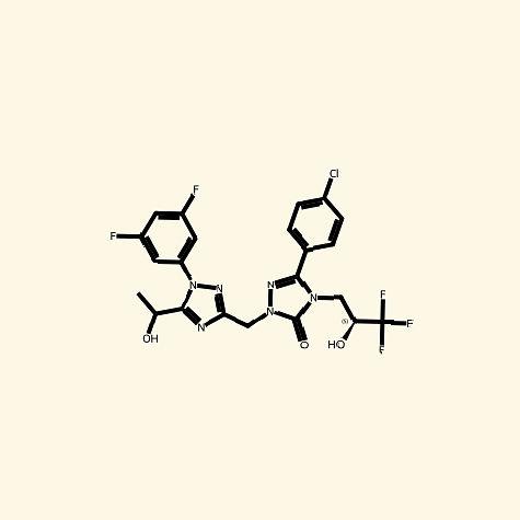 CC(O)c1nc(Cn2nc(-c3ccc(Cl)cc3)n(C[C@H](O)C(F)(F)F)c2=O)nn1-c1cc(F)cc(F)c1